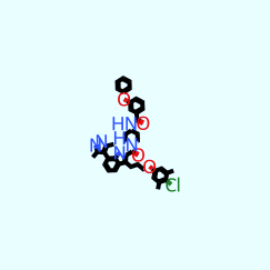 Cc1cc(OCCCc2c(C(=O)N3CCC(NC(=O)c4cccc(Oc5ccccc5)c4)CC3)[nH]c3c(-c4c(C)nn(C)c4C)cccc23)cc(C)c1Cl